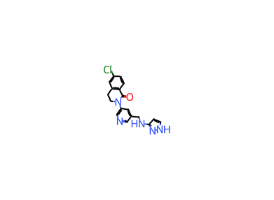 O=C1c2ccc(Cl)cc2CCN1c1cncc(CNc2cc[nH]n2)c1